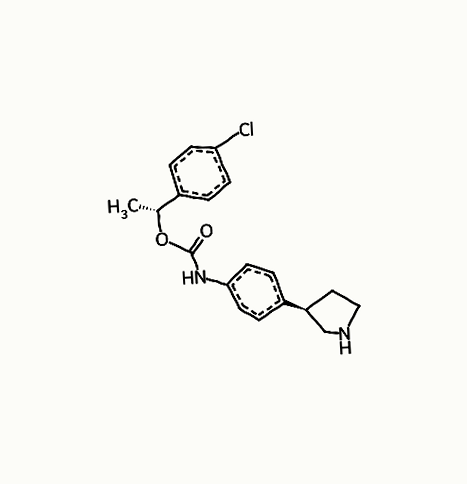 C[C@@H](OC(=O)Nc1ccc([C@H]2CCNC2)cc1)c1ccc(Cl)cc1